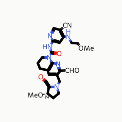 COCCNc1cc(NC(=O)N2CCCc3cc(CN4CC[C@H](OC)C4=C=O)c(C=O)nc32)ncc1C#N